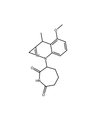 COc1cccc2c1C(C)C1=[N+](C1)N2C1CCCC(=O)NC1=O